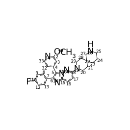 COc1cc(-c2c(-c3ccc(F)cc3)nc3ccc(N4CCC5(CCCNC5)CC4)nn23)ccn1